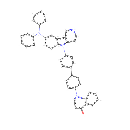 O=c1ccn(-c2ccc(-c3ccc(-n4c5ccncc5c5cc(N(c6ccccc6)c6ccccc6)ccc54)cc3)cc2)c2ccccc12